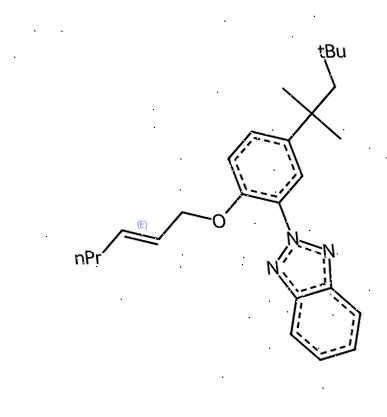 CCC/C=C/COc1ccc(C(C)(C)CC(C)(C)C)cc1-n1nc2ccccc2n1